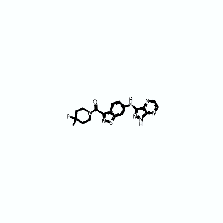 CC1(F)CCN(C(=O)c2nsc3cc(Nc4n[nH]c5nccnc45)ccc23)CC1